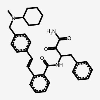 CN(Cc1ccc(C=Cc2ccccc2C(=O)NC(Cc2ccccc2)C(=O)C(N)=O)cc1)C1CCCCC1